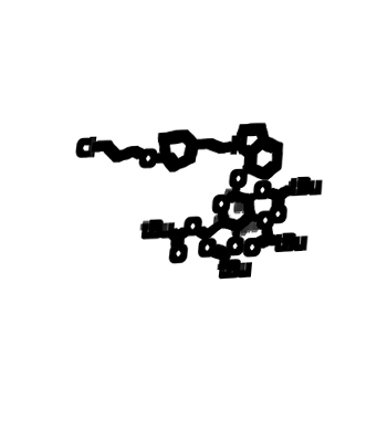 CC(C)(C)C(=O)OC[C@H]1O[C@@H](Oc2cccc3ccn(CCc4ccc(OCCCCl)cc4)c23)[C@H](OC(=O)C(C)(C)C)[C@@H](OC(=O)C(C)(C)C)[C@@H]1OC(=O)C(C)(C)C